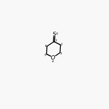 S=C1CCOCC1